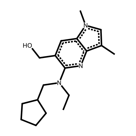 CCN(CC1CCCC1)c1nc2c(C)cn(C)c2cc1CO